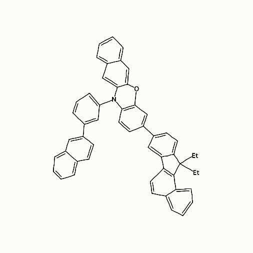 CCC1(CC)c2ccc(-c3ccc4c(c3)Oc3cc5ccccc5cc3N4c3cccc(-c4ccc5ccccc5c4)c3)cc2-c2ccc3ccccc3c21